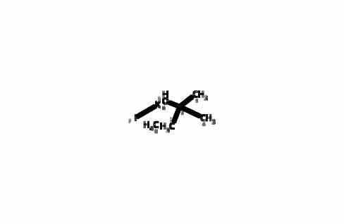 C.CC(C)(C)O.[K][I]